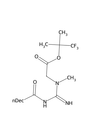 CCCCCCCCCCC(=O)NC(=N)N(C)CC(=O)OC(C)(C)C(F)(F)F